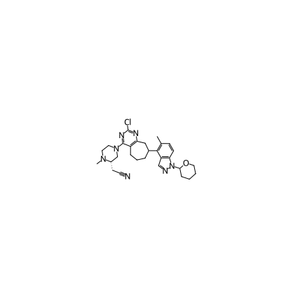 Cc1ccc2c(cnn2C2CCCCO2)c1C1CCCc2c(nc(Cl)nc2N2CCN(C)[C@@H](CC#N)C2)C1